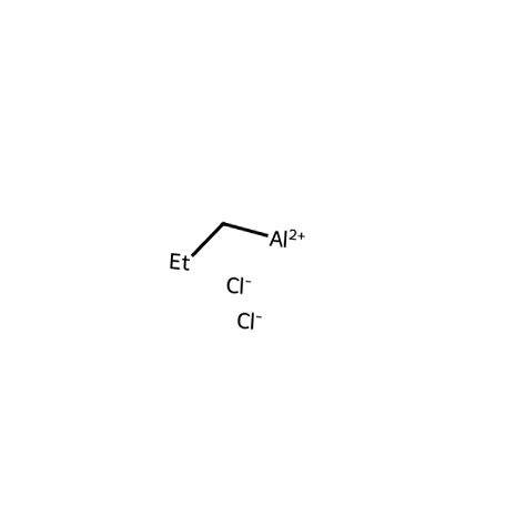 CC[CH2][Al+2].[Cl-].[Cl-]